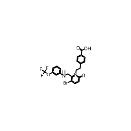 O=C(O)c1ccc(CCn2c(CNc3cccc(OC(F)(F)F)c3)c(Br)ccc2=O)cc1